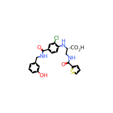 O=C(NCc1cccc(O)c1)c1ccc(N[C@@H](CNC(=O)c2cccs2)C(=O)O)c(Cl)c1